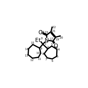 CCC(C1CCCCCC1)(C1CCCCCC1)N1C(=O)C(C)=C(C)C1=O